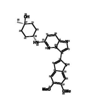 COc1cc2cc(-c3cnc4ccc(N[C@H]5CC[C@](C)(O)CC5)nn34)sc2cc1OC